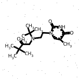 Cc1cn(CCN(CC(=O)C(C)(C)C)C(C)(C)C)c(=O)[nH]c1=O